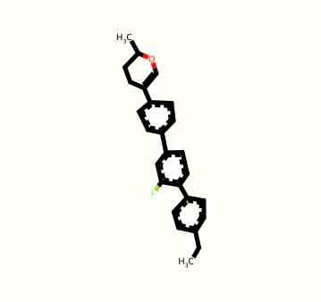 CCc1ccc(-c2ccc(-c3ccc(C4=COC(C)CC4)cc3)cc2F)cc1